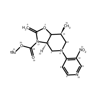 C=C1OC2[C@@H](CN(c3ccncc3[N+](=O)[O-])C[C@@H]2C)N1C(=O)OC(C)(C)C